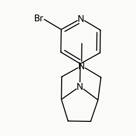 CN1CC2CCC(C1)N2c1ccnc(Br)c1